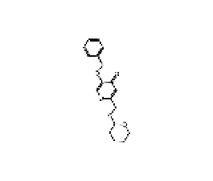 O=c1cc(COC2CCCCO2)occ1OCc1ccccc1